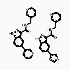 O=C(NCc1cccnc1)c1n[nH]c2ccc(-c3cccnc3)cc12.O=C(NCc1cccnc1)c1n[nH]c2ccc(-c3cncs3)cc12